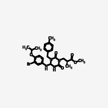 COC(=O)[C@@H](C)CN1C(=O)NC(Nc2ccc(OC(C)C)c(Br)c2)N(Cc2ccc(C)cc2)C1=O